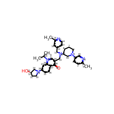 Cc1ccc(N2CCC[C@H](N(Cc3ccnc(C)c3)Cc3cn(C(C)C)c4cc(N5CC[C@@H](O)C5)ccc4c3=O)C2)cn1